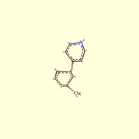 N#Cc1cccc(-c2ccncc2)c1